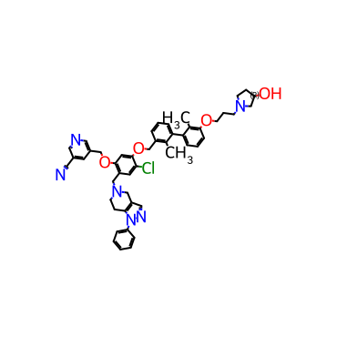 Cc1c(COc2cc(OCc3cncc(C#N)c3)c(CN3CCc4c(cnn4-c4ccccc4)C3)cc2Cl)cccc1-c1cccc(OCCCN2CC[C@@H](O)C2)c1C